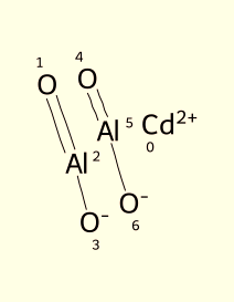 [Cd+2].[O]=[Al][O-].[O]=[Al][O-]